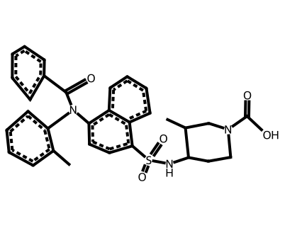 Cc1ccccc1N(C(=O)c1ccccc1)c1ccc(S(=O)(=O)NC2CCN(C(=O)O)CC2C)c2ccccc12